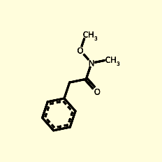 CON(C)C(=O)Cc1ccccc1